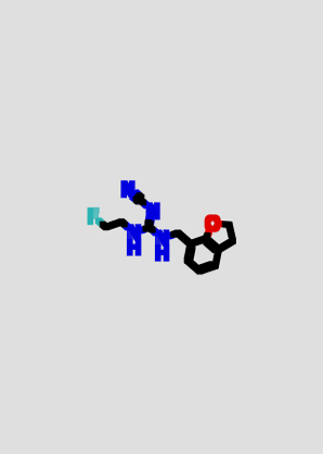 N#CN=C(NCCF)NCc1cccc2c1OCC2